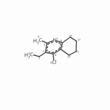 CCc1c(C)nc2c(c1Cl)CCCC2